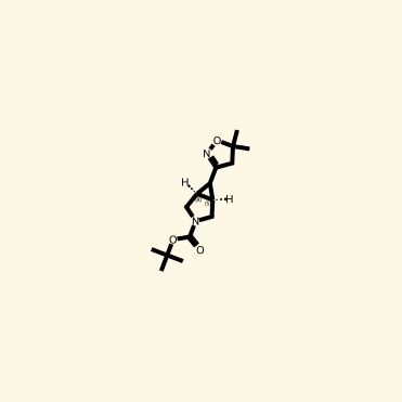 CC(C)(C)OC(=O)N1C[C@@H]2C(C3=NOC(C)(C)C3)[C@@H]2C1